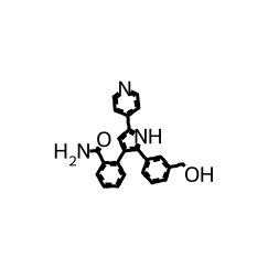 NC(=O)c1ccccc1-c1cc(-c2ccncc2)[nH]c1-c1cccc(CO)c1